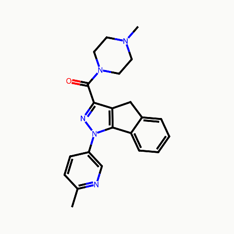 Cc1ccc(-n2nc(C(=O)N3CCN(C)CC3)c3c2-c2ccccc2C3)cn1